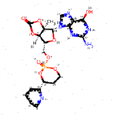 C[C@@]12OC(=O)O[C@@H]1[C@@H](CO[P@]1(=O)OCC[C@H](c3ccccn3)O1)O[C@H]2n1cnc2c(O)nc(N)nc21